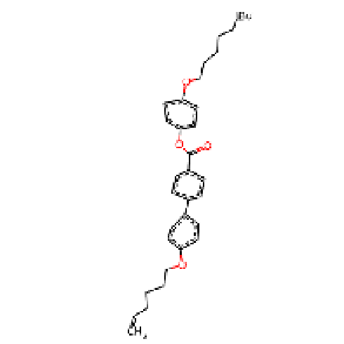 C=CCCCCOc1ccc(-c2ccc(C(=O)Oc3ccc(OCCCCCC(C)CC)cc3)cc2)cc1